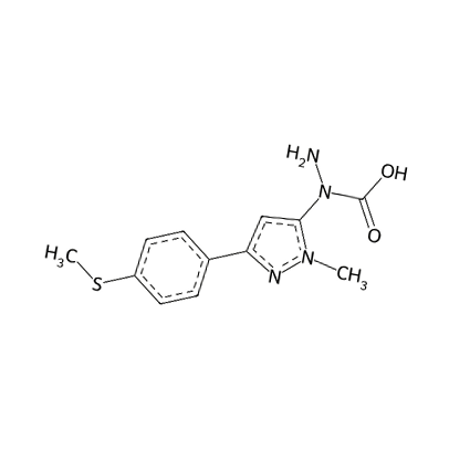 CSc1ccc(-c2cc(N(N)C(=O)O)n(C)n2)cc1